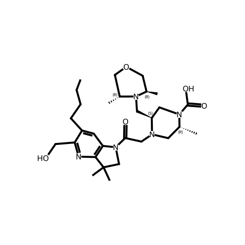 CCCCc1cc2c(nc1CO)C(C)(C)CN2C(=O)CN1C[C@@H](C)N(C(=O)O)C[C@@H]1CN1[C@H](C)COC[C@H]1C